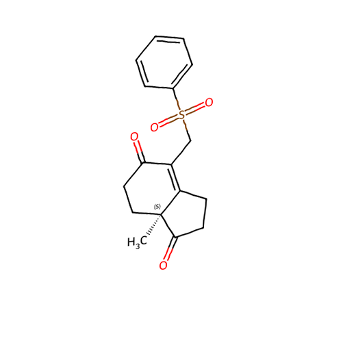 C[C@]12CCC(=O)C(CS(=O)(=O)c3ccccc3)=C1CCC2=O